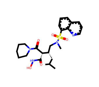 CC(C)C[C@@H](CN(C)S(=O)(=O)c1cccc2cccnc12)[C@H](C(=O)NO)C(=O)N1CCCCC1